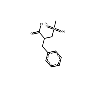 CS(=N)(=N)CC(Cc1ccccc1)C(=O)O